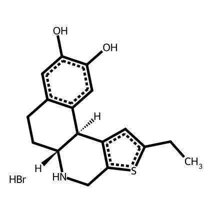 Br.CCc1cc2c(s1)CN[C@@H]1CCc3cc(O)c(O)cc3[C@@H]21